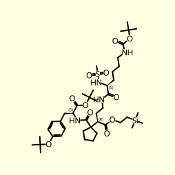 CC(C)(C)OC(=O)NCCCC[C@H](NS(C)(=O)=O)C(=O)NCC[C@@H](C(=O)OCC[Si](C)(C)C)C1(C(=O)N[C@@H](Cc2ccc(OC(C)(C)C)cc2)C(=O)OC(C)(C)C)CCCC1